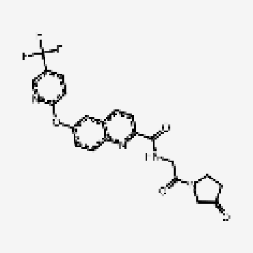 O=C1CCN(C(=O)CNC(=O)c2ccc3cc(Oc4ccc(C(F)(F)F)cn4)ccc3n2)C1